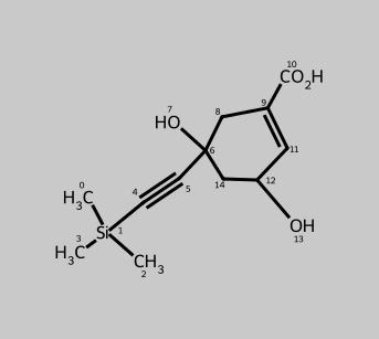 C[Si](C)(C)C#CC1(O)CC(C(=O)O)=CC(O)C1